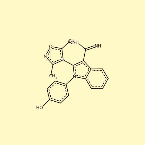 CC(=O)NC(=N)c1c(-c2c(C)noc2C)n(-c2ccc(O)cc2)c2ccccc12